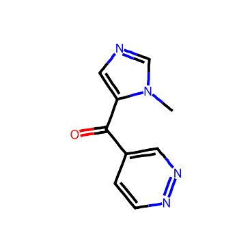 Cn1cncc1C(=O)c1ccnnc1